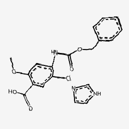 COc1cc(NC(=O)OCc2ccccc2)c(Cl)cc1C(=O)O.c1c[nH]cn1